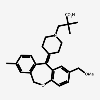 COCc1ccc2c(c1)C(=C1CCN(CC(C)(C)C(=O)O)CC1)c1ccc(C)cc1CO2